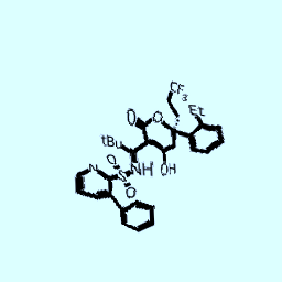 CCc1ccccc1[C@@]1(CCC(F)(F)F)CC(O)=C(C(NS(=O)(=O)c2ncccc2-c2ccccc2)C(C)(C)C)C(=O)O1